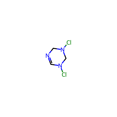 ClN1C=NCN(Cl)C1